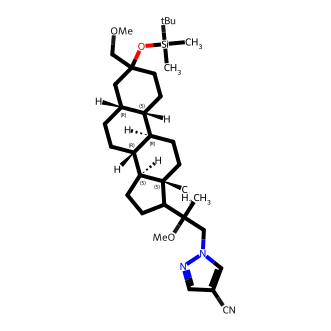 COCC1(O[Si](C)(C)C(C)(C)C)CC[C@H]2[C@H](CC[C@@H]3[C@@H]2CC[C@]2(C)C(C(C)(Cn4cc(C#N)cn4)OC)CC[C@@H]32)C1